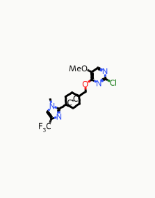 COc1cnc(Cl)nc1OCC12CCC(c3nc(C(F)(F)F)cn3C)(CC1)CC2